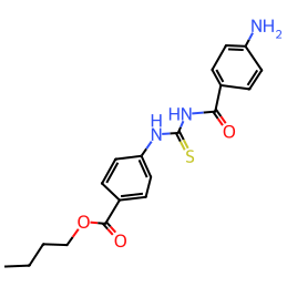 CCCCOC(=O)c1ccc(NC(=S)NC(=O)c2ccc(N)cc2)cc1